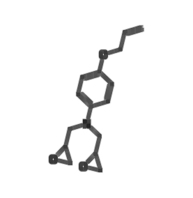 C=CCOc1ccc(N(CC2CO2)CC2CO2)cc1